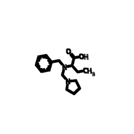 CCC(C(=O)O)N(Cc1ccccc1)CN1CCCC1